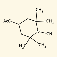 CC(=O)OC1CC(C)(C)N(C#N)C(C)(C)C1